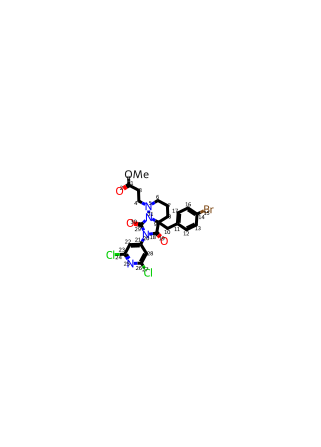 COC(=O)CCN1CCCC2(Cc3ccc(Br)cc3)C(=O)N(c3cc(Cl)nc(Cl)c3)C(=O)N12